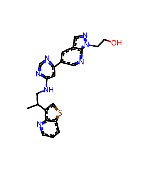 CC(CNc1cc(-c2cnc3c(cnn3CCO)c2)ncn1)c1csc2cccnc12